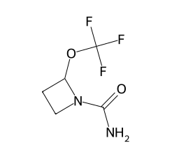 NC(=O)N1CCC1OC(F)(F)F